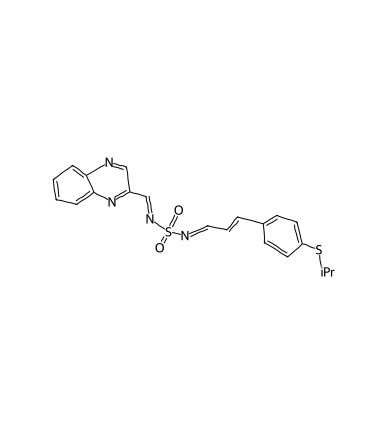 CC(C)Sc1ccc(C=CC=NS(=O)(=O)N=Cc2cnc3ccccc3n2)cc1